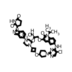 CNC(=O)COc1cc2cc(Nc3nc(N4CCC(O[C@H]5C[C@H](N6CCN(c7ccc8c(cnn8C8CCC(=O)NC8=O)c7)CC6)C5)CC4)ncc3Cl)ccc2n(C(C)C)c1=O